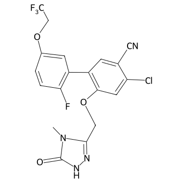 Cn1c(COc2cc(Cl)c(C#N)cc2-c2cc(OCC(F)(F)F)ccc2F)n[nH]c1=O